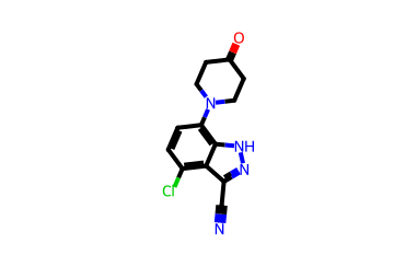 N#Cc1n[nH]c2c(N3CCC(=O)CC3)ccc(Cl)c12